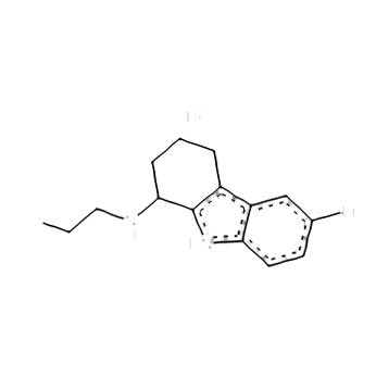 Cl.OCCNC1CCCc2c1[nH]c1ccc(Br)cc21